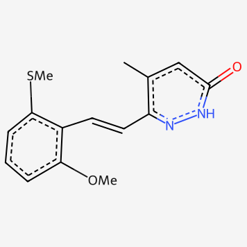 COc1cccc(SC)c1/C=C/c1n[nH]c(=O)cc1C